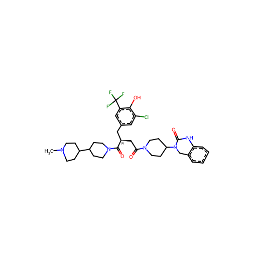 CN1CCC(C2CCN(C(=O)[C@H](CC(=O)N3CCC(N4Cc5ccccc5NC4=O)CC3)Cc3cc(Cl)c(O)c(C(F)(F)F)c3)CC2)CC1